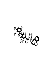 CC(C)c1c(C(=O)NN2CCOc3ccccc32)cnc2c1cnn2-c1cc(F)cc(F)c1F